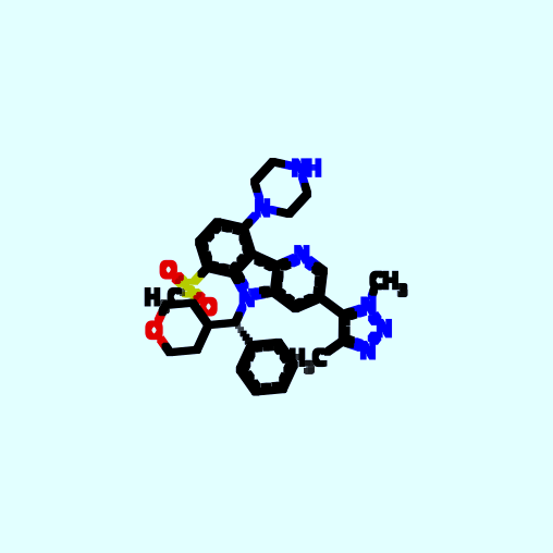 Cc1nnn(C)c1-c1cnc2c3c(N4CCNCC4)ccc(S(C)(=O)=O)c3n([C@H](c3ccccc3)C3CCOCC3)c2c1